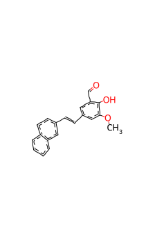 COc1cc(C=Cc2ccc3ccccc3c2)cc(C=O)c1O